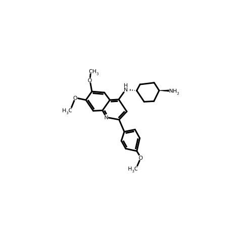 COc1ccc(-c2cc(N[C@H]3CC[C@H](N)CC3)c3cc(OC)c(OC)cc3n2)cc1